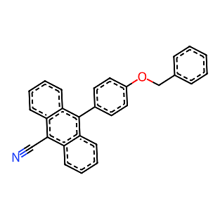 N#Cc1c2ccccc2c(-c2ccc(OCc3ccccc3)cc2)c2ccccc12